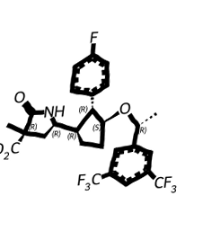 C[C@@H](O[C@H]1CC[C@@H]([C@H]2C[C@@](C)(C(=O)O)C(=O)N2)[C@@H]1c1ccc(F)cc1)c1cc(C(F)(F)F)cc(C(F)(F)F)c1